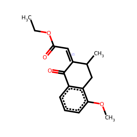 CCOC(=O)/C=C1\C(=O)c2cccc(OC)c2CC1C